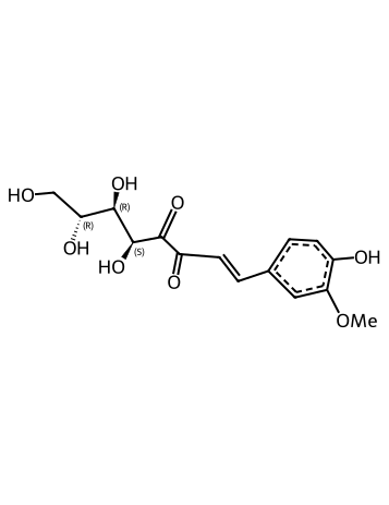 COc1cc(C=CC(=O)C(=O)[C@@H](O)[C@H](O)[C@H](O)CO)ccc1O